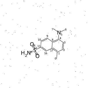 Cc1ccc(N(C)C)c2ccc(S(N)(=O)=O)cc12